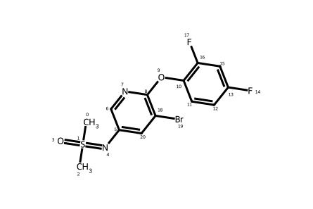 CS(C)(=O)=Nc1cnc(Oc2ccc(F)cc2F)c(Br)c1